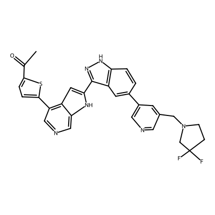 CC(=O)c1ccc(-c2cncc3[nH]c(-c4n[nH]c5ccc(-c6cncc(CN7CCC(F)(F)C7)c6)cc45)cc23)s1